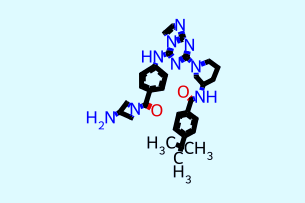 CC(C)(C)c1ccc(C(=O)NC2CCCN(c3nc(Nc4ccc(C(=O)N5CC(N)C5)cc4)n4ccnc4n3)C2)cc1